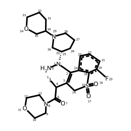 NN(C1=C(C(I)C(=O)N2CCOCC2)CS(=O)(=O)c2c(F)cccc21)[C@H]1CCCN(C2CCCOC2)C1